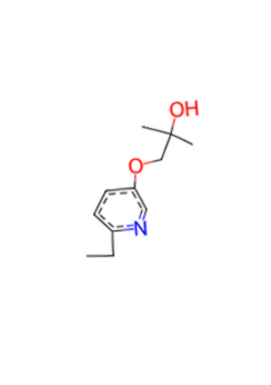 CCc1ccc(OCC(C)(C)O)cn1